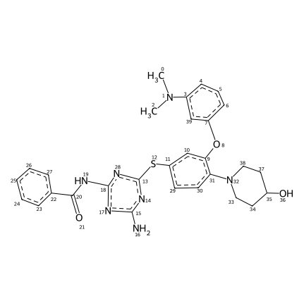 CN(C)c1cccc(Oc2cc(Sc3nc(N)nc(NC(=O)c4ccccc4)n3)ccc2N2CCC(O)CC2)c1